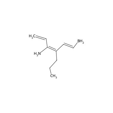 B/C=C/C(CCC)=C(/N)C=C